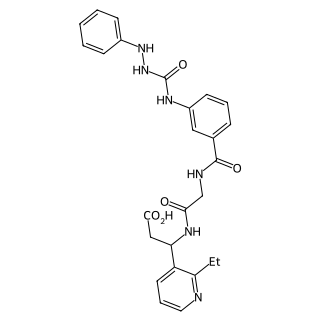 CCc1ncccc1C(CC(=O)O)NC(=O)CNC(=O)c1cccc(NC(=O)NNc2ccccc2)c1